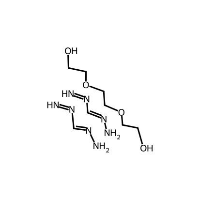 N=NC=NN.N=NC=NN.OCCOCCOCCO